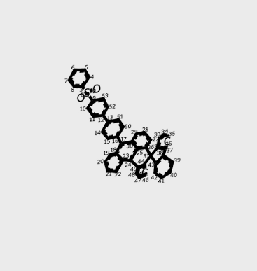 O=S(=O)(c1ccccc1)c1ccc(-c2ccc(-c3c4ccccc4c4c5c(cccc35)C3(c5ccccc5-c5ccccc53)c3ccccc3-4)cc2)cc1